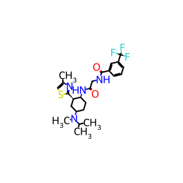 Cc1csc([C@@H]2C[C@H](N(C)C(C)C)CC[C@@H]2NC(=O)CNC(=O)c2cccc(C(F)(F)F)c2)n1